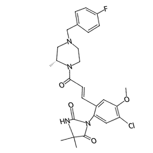 COc1cc(C=CC(=O)N2CCN(Cc3ccc(F)cc3)C[C@H]2C)c(N2C(=O)NC(C)(C)C2=O)cc1Cl